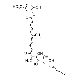 CC(/C=C/C=C/C(=O)OC1CC(C(=O)O)=CCC1O)=C\C=C\C=C(/Cl)C(C)C(O)C(O)C(O)CC(O)/C=C/C=C/C(C)C